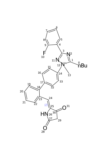 CCCCC1=NC(c2ccccc2F)=N[N+]1(C)c1ccc(-c2ccccc2/C=C2\NC(=O)CC2=O)cc1